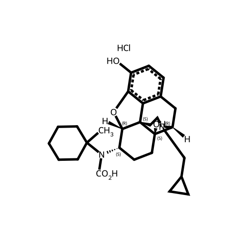 CC1(N(C(=O)O)[C@H]2CC[C@@]3(O)[C@H]4Cc5ccc(O)c6c5[C@@]3(CCN4CC3CC3)[C@H]2O6)CCCCC1.Cl